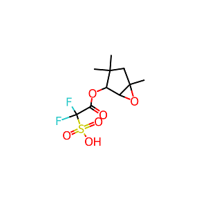 CC1(C)CC2(C)OC2C1OC(=O)C(F)(F)S(=O)(=O)O